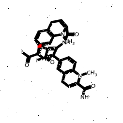 CN1C(C([NH])=O)=CCc2cc(-c3nc(C(=O)I)c4c(C(=O)I)c3NC(=O)C3=CCc5cc-4ccc5N3C)ccc21